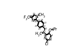 CC(C)Oc1cnc(Cl)nc1N(C)Cc1ccc(-c2nc(C(F)(F)F)cn2C)cc1